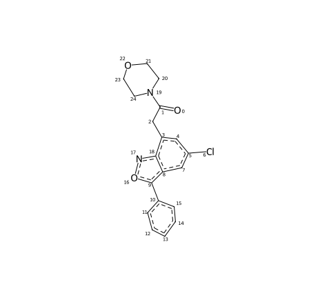 O=C(Cc1cc(Cl)cc2c(-c3ccccc3)onc12)N1CCOCC1